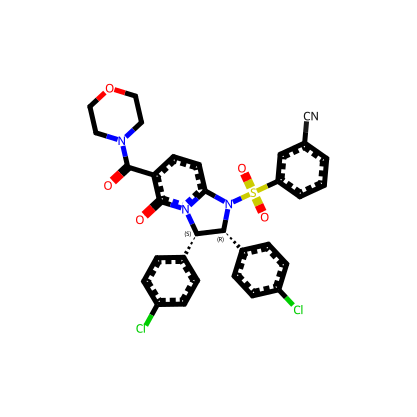 N#Cc1cccc(S(=O)(=O)N2c3ccc(C(=O)N4CCOCC4)c(=O)n3[C@@H](c3ccc(Cl)cc3)[C@H]2c2ccc(Cl)cc2)c1